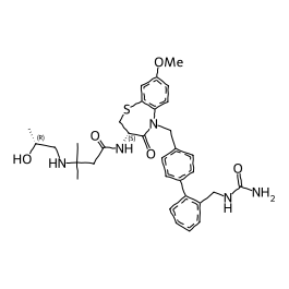 COc1ccc2c(c1)SC[C@@H](NC(=O)CC(C)(C)NC[C@@H](C)O)C(=O)N2Cc1ccc(-c2ccccc2CNC(N)=O)cc1